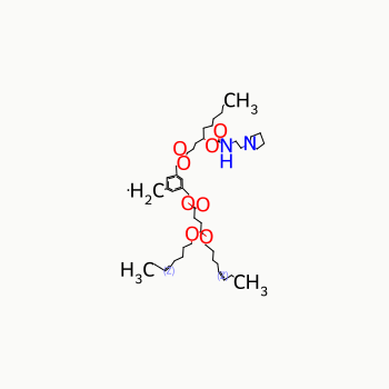 [CH2]c1cc(COC(=O)CCC(CCCCCC)OC(=O)NCCN2CCCC2)cc(COC(=O)CCC(OCCCC/C=C\CC)OCCCC/C=C\CC)c1